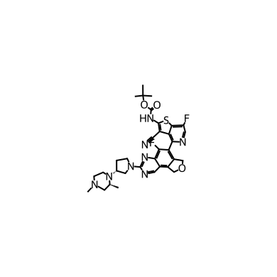 C[C@H]1CN(C)CCN1[C@@H]1CCN(c2ncc3c4c(c(-c5ncc(F)c6sc(NC(=O)OC(C)(C)C)c(C#N)c56)c(F)c3n2)COC4)C1